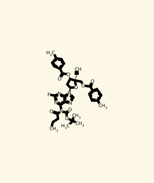 C#C[C@]1(COC(=O)c2ccc(C)cc2)O[C@@H](n2cnc3c(N(C(=O)CCC)C(=O)OC(C)(C)C)nc(F)nc32)C[C@@H]1OC(=O)c1ccc(C)cc1